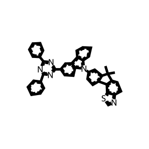 CC1(C)c2cc(-n3c4ccccc4c4cc(-c5nc(-c6ccccc6)nc(-c6ccccc6)n5)ccc43)ccc2-c2c1ccc1ncsc21